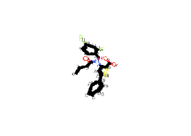 CCCC(=O)N(Cc1ccc(F)cc1F)c1cc(-c2ccccc2)sc1C(=O)O